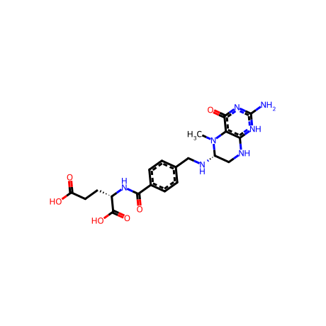 CN1c2c([nH]c(N)nc2=O)NC[C@@H]1NCc1ccc(C(=O)N[C@@H](CCC(=O)O)C(=O)O)cc1